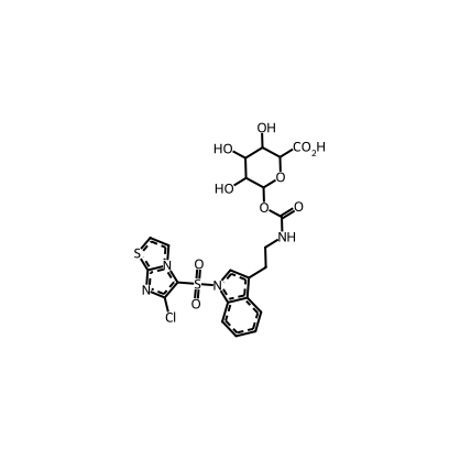 O=C(NCCc1cn(S(=O)(=O)c2c(Cl)nc3sccn23)c2ccccc12)OC1OC(C(=O)O)C(O)C(O)C1O